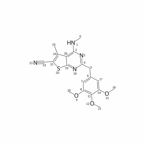 CNc1nc(Cc2cc(OC)c(OC)c(OC)c2)nc2sc(C#N)c(C)c12